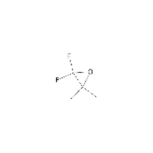 CC1(C)OC1(F)F